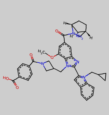 COc1cc(C(=O)N2C[C@H]3CC[C@@H]2[C@@H]3N)cc2nc(-c3cc4ccccc4n3CC3CC3)n(CC3CN(C(=O)c4ccc(C(=O)O)cc4)C3)c12